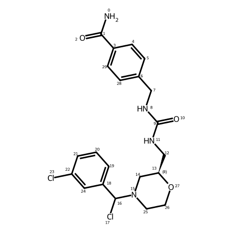 NC(=O)c1ccc(CNC(=O)NC[C@@H]2CN(C(Cl)c3cccc(Cl)c3)CCO2)cc1